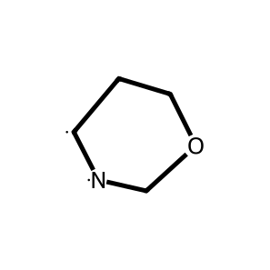 [CH]1CCOC[N]1